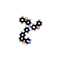 C1=CC(N(c2ccc(-c3ccc4ccc5oc6cnccc6c5c4c3)cc2)c2ccc3oc4ccccc4c3c2)Cc2c1oc1ccccc21